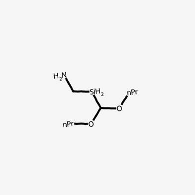 CCCOC(OCCC)[SiH2]CN